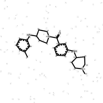 Cc1cccc(NC2CCN(C(=O)c3cccc(NC4CCN(C)CC4)c3)CC2)c1